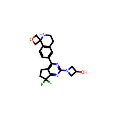 OC1CN(c2nc(-c3ccc4c(c3)CCNC43COC3)c3c(n2)C(F)(F)CC3)C1